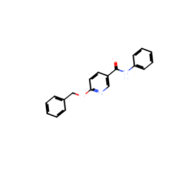 O=C(Nc1ccccc1)c1ccc(OCc2ccccc2)nc1